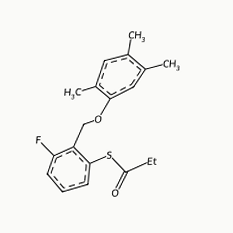 CCC(=O)Sc1cccc(F)c1COc1cc(C)c(C)cc1C